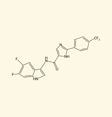 O=C(Nc1c[nH]c2cc(F)c(F)cc12)c1cnc(-c2ccc(C(F)(F)F)cc2)[nH]1